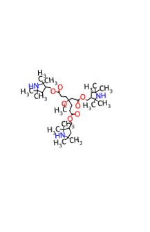 COC(CCC(=O)OCC1CC(C)(C)NC1(C)C)(CCC(=O)OCC1CC(C)(C)NC1(C)C)CC(=O)OCC1CC(C)(C)NC1(C)C